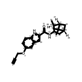 C#CCOc1ccc2[nH]c(C(=O)NC3C[C@H]4C[C@@H]([C@@H]3C)C4(C)C)cc2c1